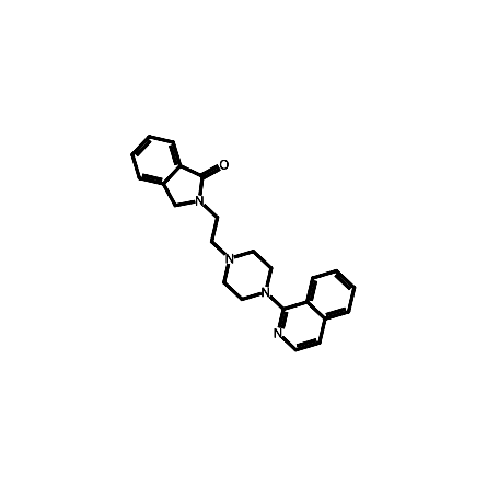 O=C1c2ccccc2CN1CCN1CCN(c2nccc3ccccc23)CC1